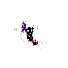 C=C(C)[C@@H]1CC[C@]2(NCC(C(C)O)N3CCS(=O)(=O)CC3)CC[C@]3(C)[C@H](CC[C@@H]4[C@@]5(C)CC[C@H](OC(=O)CC(C)(C)CC(=O)OCC)C(C)(C)[C@@H]5CC[C@]43C)[C@@H]12